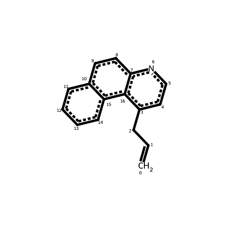 C=CCc1ccnc2ccc3ccccc3c12